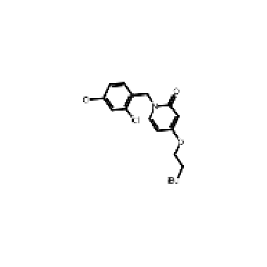 CCC(C)CCOc1ccn(Cc2ccc(Cl)cc2Cl)c(=O)c1